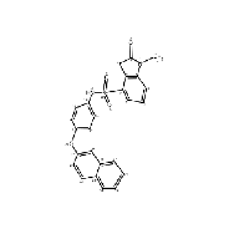 CN1C(=O)Cc2c1cccc2S(=O)(=O)Nc1ccc(Oc2ccc3ccccc3c2)cc1